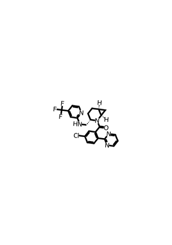 O=C(c1cc(Cl)ccc1-c1ncccn1)N1[C@H](CNc2cc(C(F)(F)F)ccn2)CC[C@H]2C[C@H]21